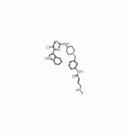 CN(C)CC=CC(=O)Nc1cccc(CN2CCC(Nc3ncc(Cl)c(-c4c[nH]c5ccccc45)n3)CC2)c1